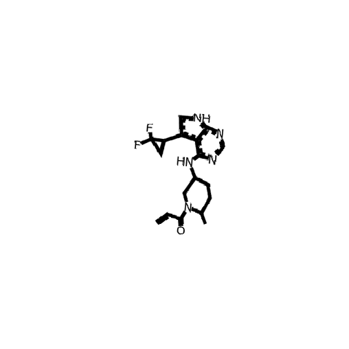 C=CC(=O)N1CC(Nc2ncnc3[nH]cc(C4CC4(F)F)c23)CCC1C